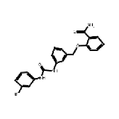 NC(=O)c1ccccc1OCc1cccc(NC(=O)Nc2cccc(Br)c2)c1